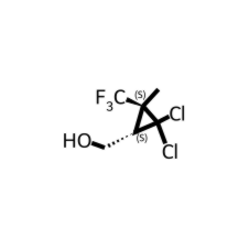 C[C@@]1(C(F)(F)F)[C@@H](CO)C1(Cl)Cl